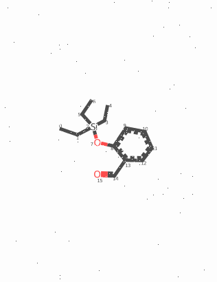 CC[Si](CC)(CC)Oc1ccccc1C=O